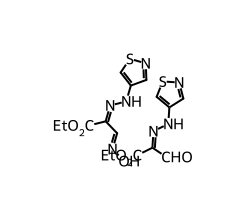 CCOC(=O)/C(C=O)=N/Nc1cnsc1.CCOC(=O)C(/C=N/O)=N/Nc1cnsc1